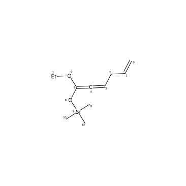 C=CCC=C=C(OCC)O[Si](C)(C)C